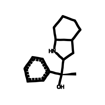 C[C@@](O)(c1ccccc1)C1CC2CCCCC2N1